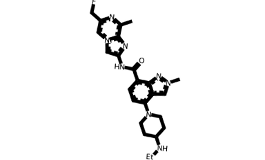 CCNC1CCN(c2ccc(C(=O)Nc3cn4cc(CF)nc(C)c4n3)c3nn(C)cc23)CC1